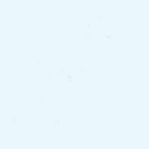 O=C(Nc1cc(F)ccc1F)c1cc(NC(=O)C2C(c3cc(Cl)cc(Cl)c3)C2(Cl)Cl)ccc1Cl